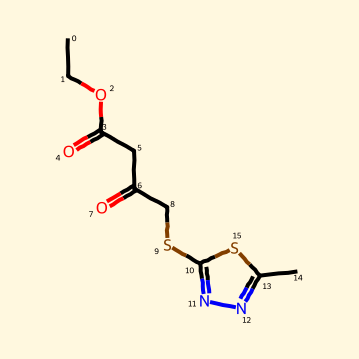 CCOC(=O)CC(=O)CSc1nnc(C)s1